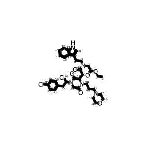 CCOC(=O)CN(CCc1c[nH]c2ccccc12)C(=O)CC1C(=O)N(C(Cl)Cc2ccc(Cl)cc2)CC(=O)N1CCCN1CCOCC1